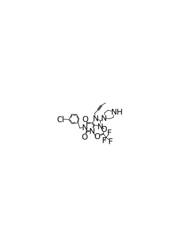 CC#CCN1c2c(n(C)c(=O)n(Cc3cccc(Cl)c3)c2=O)N(OC(=O)C(F)(F)F)C1N1CCNCC1